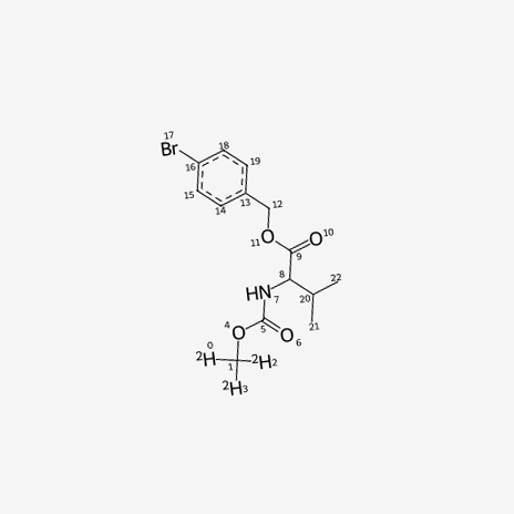 [2H]C([2H])([2H])OC(=O)NC(C(=O)OCc1ccc(Br)cc1)C(C)C